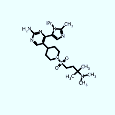 Cc1ncc(-c2nc(N)ncc2C2CCN(S(=O)(=O)CCC(C)(C)N(C)C)CC2)n1C(C)C